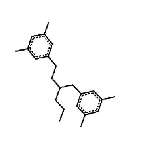 CCCC([CH]Cc1cc(C)cc(C)c1)Cc1cc(C)cc(C)c1